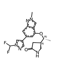 C[C@@H](Oc1cc(-c2cnn(C(F)F)c2)cc2nn(C)cc12)[C@H]1CNC(=O)C1